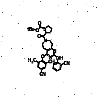 Cc1cc(C#N)cc(C)c1Oc1nc(Nc2ccccc2C#N)nc2c1CCN(C(=O)C1CCCN1C(=O)OC(C)(C)C)CC2